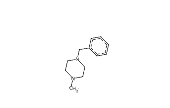 [CH2]N1CCN(Cc2ccccc2)CC1